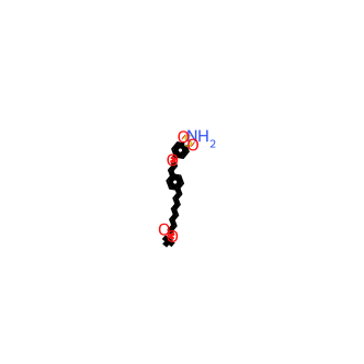 CC(C)(C)OC(=O)CCCCCCCc1ccc(CCOc2ccc(S(N)(=O)=O)cc2)cc1